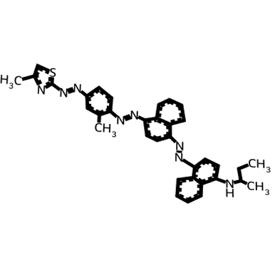 CCC(C)Nc1ccc(/N=N/c2ccc(/N=N/c3ccc(/N=N/c4nc(C)cs4)cc3C)c3ccccc23)c2ccccc12